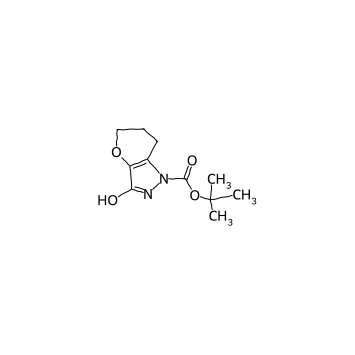 CC(C)(C)OC(=O)n1nc(O)c2c1CCCO2